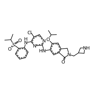 CC(C)Oc1cc2c(cc1Nc1ncc(Cl)c(Nc3ccccc3S(=O)(=O)C(C)C)n1)C(=O)N(CC1CNC1)C2